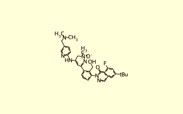 CN(C)Cc1ccc(NC2=CC(c3cccc(-n4ncc5cc(C(C)(C)C)cc(F)c5c4=O)c3CO)=N[N+](C)([O-])C2)nc1